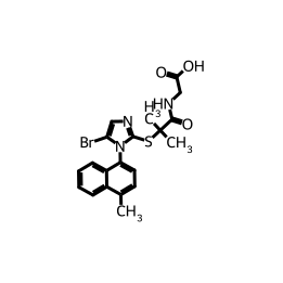 Cc1ccc(-n2c(Br)cnc2SC(C)(C)C(=O)NCC(=O)O)c2ccccc12